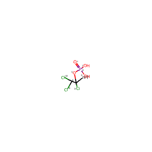 CCCC(Cl)(OP(=O)(O)O)C(Cl)Cl